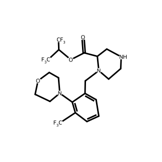 O=C(OC(C(F)(F)F)C(F)(F)F)C1CNCCN1Cc1cccc(C(F)(F)F)c1N1CCOCC1